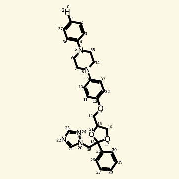 [2H]c1ccc(N2CCN(c3ccc(OCC4COC(Cn5cncn5)(c5ccccc5)O4)cc3)CC2)cc1